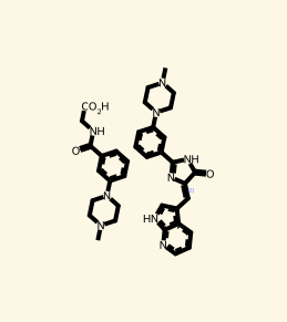 CN1CCN(c2cccc(C(=O)NCC(=O)O)c2)CC1.CN1CCN(c2cccc(C3=N/C(=C\c4c[nH]c5ncccc45)C(=O)N3)c2)CC1